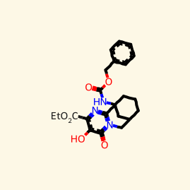 CCOC(=O)c1nc2n(c(=O)c1O)CC1CCCC2(NC(=O)OCc2ccccc2)C1